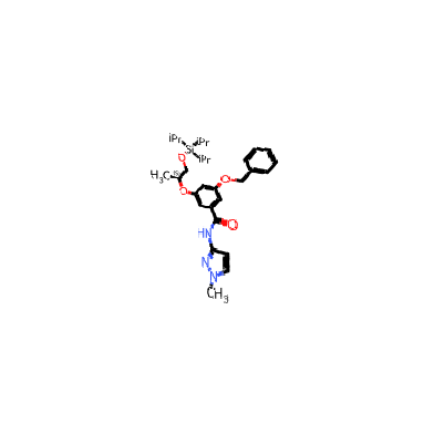 CC(C)[Si](OC[C@H](C)Oc1cc(OCc2ccccc2)cc(C(=O)Nc2ccn(C)n2)c1)(C(C)C)C(C)C